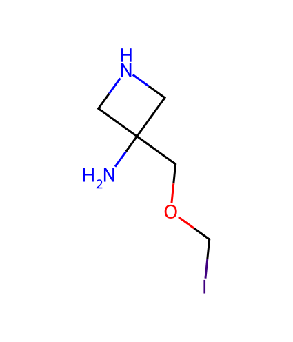 NC1(COCI)CNC1